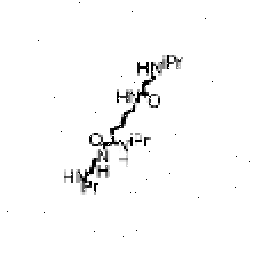 CC(C)NCCNC(=O)C(CCCCNC(=O)CCNC(C)C)NC(C)C